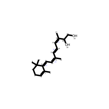 CC1=CCCC(C)(C)/C1=C/C=C(C)\C=C\C=C(\C)C(O)CO